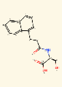 O=C(CCc1cccc2ccccc12)N[C@@H](CO)C(=O)O